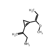 C=C(CN)C1=C(/C(=C\C)OC)C1